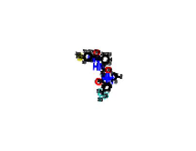 C=C(C)CNc1ccc(C(F)(F)F)cc1C(=O)NCC(=O)N[C@@H]1CCCC[C@@H]1NC(=O)c1ccc(SC)cc1